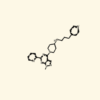 Cn1ncc2c(N3CCC(NCCCc4ccncc4)CC3)nc(-c3ccccn3)nc21